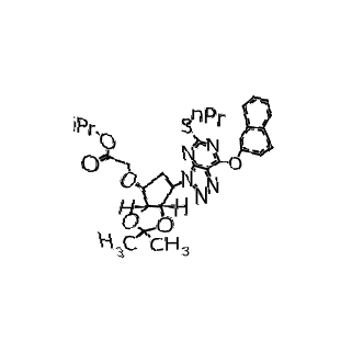 CCCSc1nc(Oc2ccc3ccccc3c2)c2nnn(C3C[C@H](OCC(=O)OC(C)C)[C@H]4OC(C)(C)O[C@@H]34)c2n1